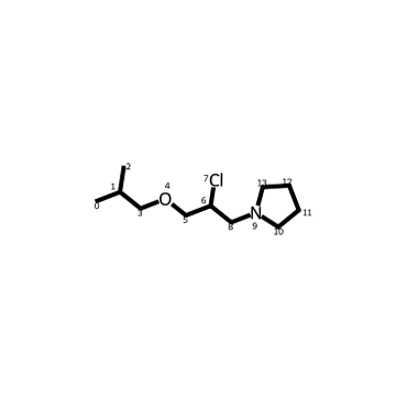 CC(C)COCC(Cl)CN1CCCC1